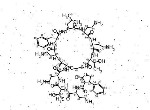 CC(C)C[C@@H]1NC(=O)[C@@H](Cc2ccccc2)NC(=O)[C@H](CCN)NC(=O)[C@@H](NC(=O)[C@H](CCN)NC(=O)[C@@H](NC(=O)[C@H](CCN)NC(=O)C2C(=O)OCC2c2ccccc2)C(C)O)CCNC(=O)[C@H](C(C)O)NC(=O)[C@H](CCN)NC(=O)[C@H](CCN)NC1=O